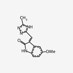 COc1ccc2c(c1)/C(=C/c1nnc(C)[nH]1)C(=O)N2